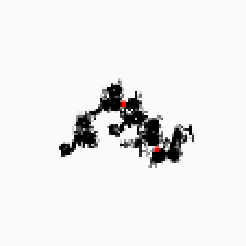 Cc1cc(I)ccc1Nc1c(C(=O)NCCCO)ccc(F)c1F.Cc1cc(I)ccc1Nc1c(C(=O)NCCN2CCCC2)cc(Br)c(F)c1F.Cc1cc(I)ccc1Nc1c(C(=O)NCCN2CCCCC2)cc(Br)c(F)c1F.Cc1cc(I)ccc1Nc1c(C(=O)NCCO)ccc(F)c1F.Cc1cc(I)ccc1Nc1cc(F)ccc1C(=O)NCC(O)CO